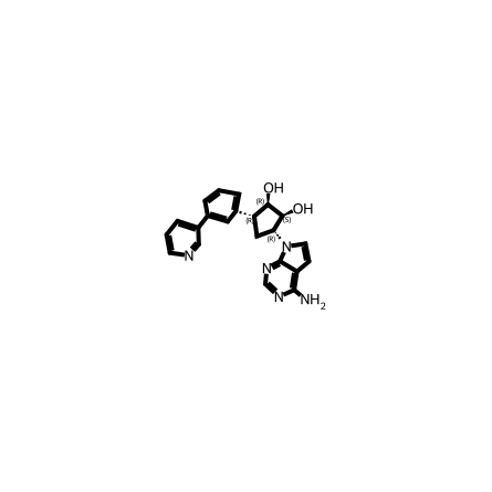 Nc1ncnc2c1ccn2[C@@H]1C[C@H](c2cccc(-c3cccnc3)c2)[C@@H](O)[C@H]1O